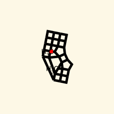 CC12C3CC4C5C6C7CC8C9CC%10C%11C%12C%13C%14C%15CC3C%151C%141C42C52C3(C)C64C87C9%10C%114C%123C%1312